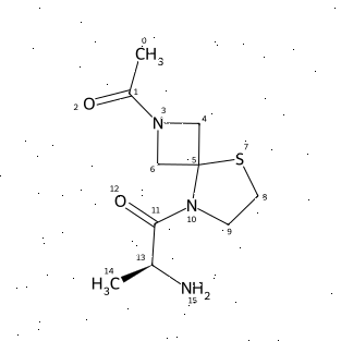 CC(=O)N1CC2(C1)SCCN2C(=O)[C@H](C)N